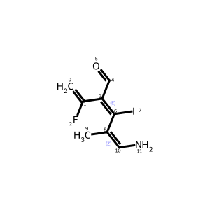 C=C(F)/C(C=O)=C(I)\C(C)=C/N